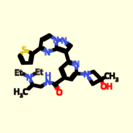 CCN(CC)C(C)CNC(=O)c1cc(-c2cnn3ccc(-c4cccs4)nc23)nc(N2CC(C)(O)C2)c1